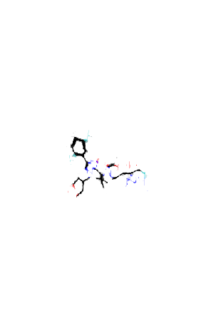 C[C@H](O)C(=O)N(CC[C@H](N)CF)[C@@H](c1nc(-c2cc(F)ccc2F)cn1CC1CCOCC1)C(C)(C)C